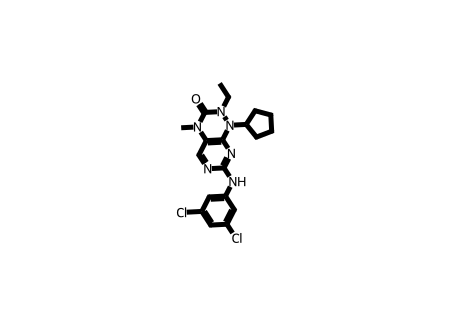 CCN1C(=O)N(C)c2cnc(Nc3cc(Cl)cc(Cl)c3)nc2N1C1CCCC1